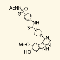 COc1cc2c(cc1O)[nH]c1ncnc(N3CCN(C(=S)Nc4ccc(S(=O)(=O)NC(C)=O)cc4)CC3)c12